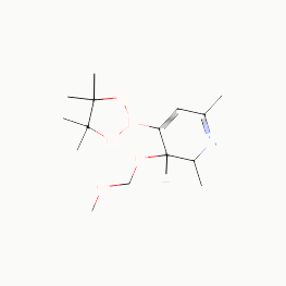 [2H]C1(OCOC)C(B2OC(C)(C)C(C)(C)O2)=CC(C)=NC1C